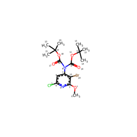 COc1nc(Cl)cc(N(C(=O)OC(C)(C)C)C(=O)OC(C)(C)C)c1Br